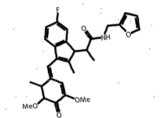 COC1=CC(=CC2=C(C)C(C(C)C(=O)NCc3ccco3)c3cc(F)ccc32)C(C)C(OC)C1=O